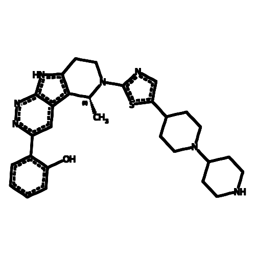 C[C@@H]1c2c([nH]c3nnc(-c4ccccc4O)cc23)CCN1c1ncc(C2CCN(C3CCNCC3)CC2)s1